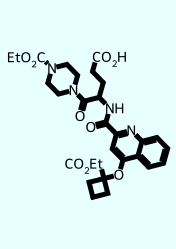 CCOC(=O)N1CCN(C(=O)C(CCC(=O)O)NC(=O)c2cc(OC3(C(=O)OCC)CCC3)c3ccccc3n2)CC1